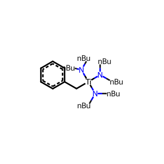 CCCC[N](CCCC)[Ti]([CH2]c1ccccc1)([N](CCCC)CCCC)[N](CCCC)CCCC